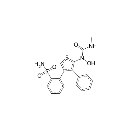 CNC(=O)N(O)c1scc(-c2ccccc2S(N)(=O)=O)c1-c1ccccc1